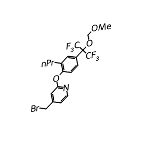 CCCc1cc(C(OCOC)(C(F)(F)F)C(F)(F)F)ccc1Oc1cc(CBr)ccn1